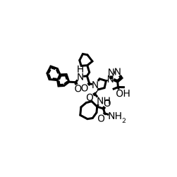 CC(C)(O)c1cnnn1[C@H]1C[C@@H](C(=O)NC2(C(=O)C(N)=O)CCCCCCC2)N(C(=O)C(CC2CCCCC2)NC(=O)c2ccc3ccccc3c2)C1